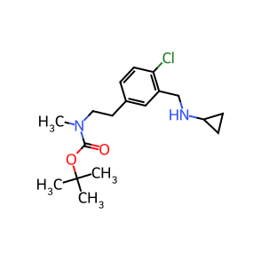 CN(CCc1ccc(Cl)c(CNC2CC2)c1)C(=O)OC(C)(C)C